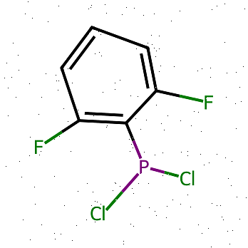 Fc1cccc(F)c1P(Cl)Cl